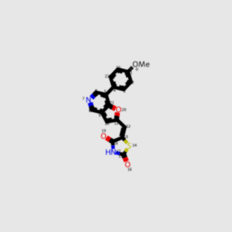 COc1ccc(-c2cncc3cc(C=C4SC(=O)NC4=O)oc23)cc1